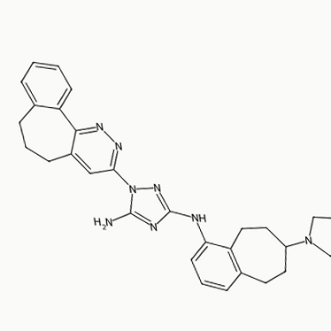 Nc1nc(Nc2cccc3c2CCC(N2CCCC2)CC3)nn1-c1cc2c(nn1)-c1ccccc1CCC2